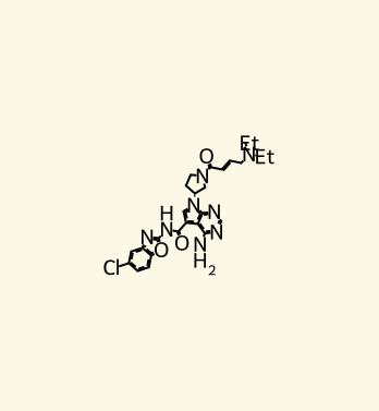 CCN(CC)CC=CC(=O)N1CC[C@@H](n2cc(C(=O)Nc3nc4cc(Cl)ccc4o3)c3c(N)ncnc32)C1